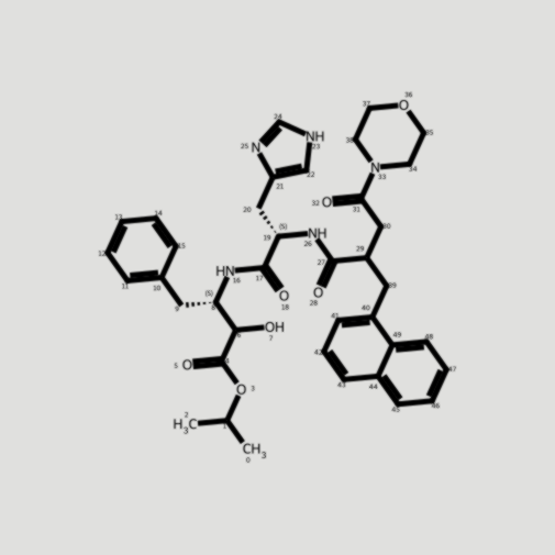 CC(C)OC(=O)C(O)[C@H](Cc1ccccc1)NC(=O)[C@H](Cc1c[nH]cn1)NC(=O)C(CC(=O)N1CCOCC1)Cc1cccc2ccccc12